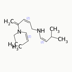 C=C(/C=C\CN/C=C\C(C)C)N(/C=C\C)CC